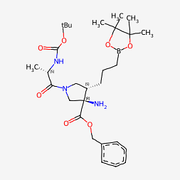 C[C@H](NC(=O)OC(C)(C)C)C(=O)N1C[C@H](CCCB2OC(C)(C)C(C)(C)O2)[C@](N)(C(=O)OCc2ccccc2)C1